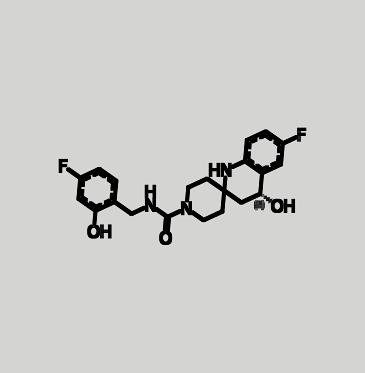 O=C(NCc1ccc(F)cc1O)N1CCC2(CC1)C[C@@H](O)c1cc(F)ccc1N2